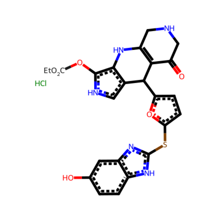 CCOC(=O)Oc1[nH]cc2c1NC1=C(C(=O)CNC1)C2c1ccc(Sc2nc3cc(O)ccc3[nH]2)o1.Cl